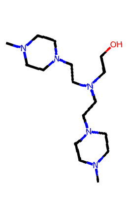 CN1CCN(CCN(CCO)CCN2CCN(C)CC2)CC1